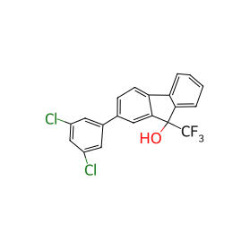 OC1(C(F)(F)F)c2ccccc2-c2ccc(-c3cc(Cl)cc(Cl)c3)cc21